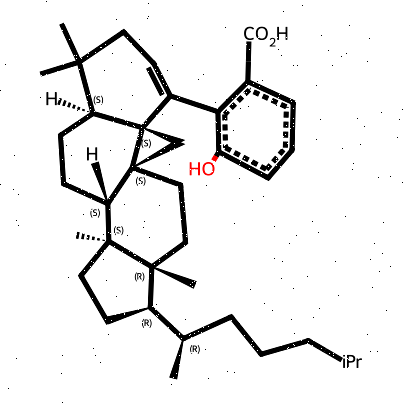 CC(C)CCC[C@@H](C)[C@H]1CC[C@@]2(C)[C@@H]3CC[C@H]4C(C)(C)CC=C(c5c(O)cccc5C(=O)O)[C@@]45C[C@@]35CC[C@]12C